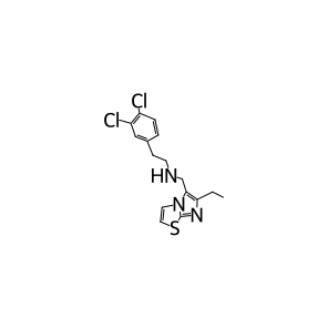 CCc1nc2sccn2c1CNCCc1ccc(Cl)c(Cl)c1